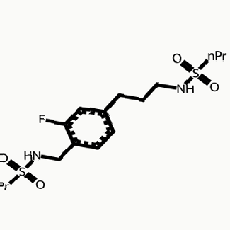 CCCS(=O)(=O)NCCCc1ccc(CNS(=O)(=O)CCC)c(F)c1